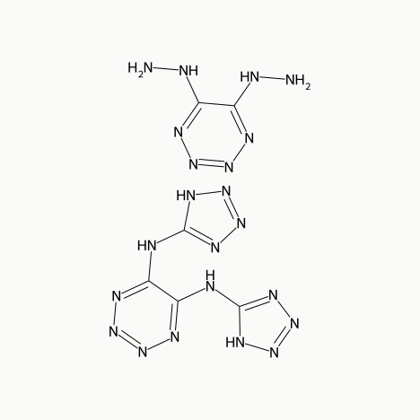 NNc1nnnnc1NN.n1n[nH]c(Nc2nnnnc2Nc2nnn[nH]2)n1